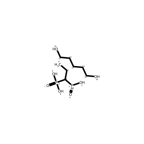 CCC([PH](=O)O)P(=O)(O)O.OCCCCCO